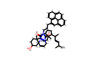 CC(C)C(C)/C=C/C(C)C1CCC2CC(C3(C)CCC(O)CC34C=CCn3c(=O)n(CCCC5=CC6=CC=CC7=CC=C8CC=CC5=C8C76)c(=O)n34)CCC21C